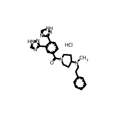 CN(CCc1ccccc1)C1CCN(C(=O)c2ccc(-c3nc[nH]n3)c(-c3nc[nH]n3)c2)CC1.Cl